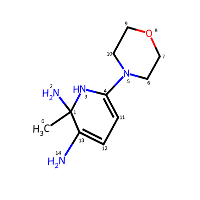 CC1(N)NC(N2CCOCC2)=CC=C1N